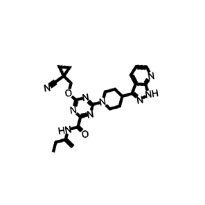 C=C(CC)NC(=O)c1nc(OCC2(C#N)CC2)nc(N2CCC(c3n[nH]c4ncccc34)CC2)n1